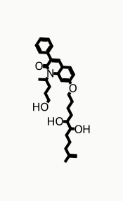 C=C(C)CCCC(O)C(O)CCCCOC1=CC2C(C=C1)C=C(c1ccccc1)C(=O)N2C(C)CCCO